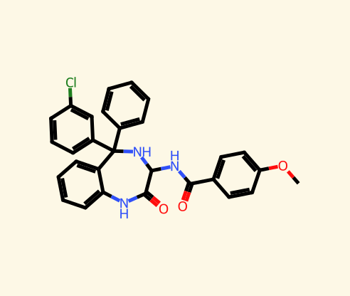 COc1ccc(C(=O)NC2NC(c3ccccc3)(c3cccc(Cl)c3)c3ccccc3NC2=O)cc1